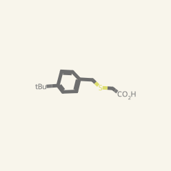 CC(C)(C)c1ccc(CSCC(=O)O)cc1